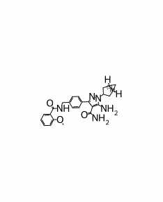 COc1ccccc1C(=O)NCc1ccc(-c2nn(C3C[C@@H]4C[C@@H]4C3)c(N)c2C(N)=O)cc1